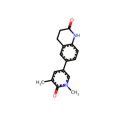 Cc1cc(-c2ccc3c(c2)CCC(=O)N3)cn(C)c1=O